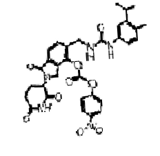 Cc1ccc(NC(=O)NCc2ccc3c(c2OC(=O)Oc2ccc([N+](=O)[O-])cc2)CN(C2CCC(=O)NC2=O)C3=O)cc1C(C)C